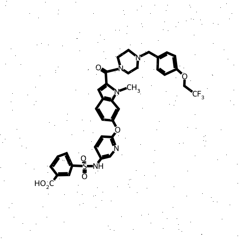 Cn1c(C(=O)N2CCN(Cc3ccc(OCC(F)(F)F)cc3)CC2)cc2ccc(Oc3ccc(NS(=O)(=O)c4cccc(C(=O)O)c4)cn3)cc21